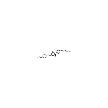 CCCCCCc1ccc(-c2ncc(CC[C@H]3CC[C@H](CCC)CC3)cn2)cc1